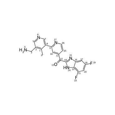 Cc1c(CN)cncc1-c1cc(C(=O)c2nc3cc(F)cc(F)c3[nH]2)ccn1